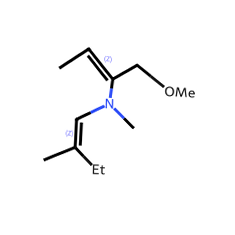 C/C=C(/COC)N(C)/C=C(/C)CC